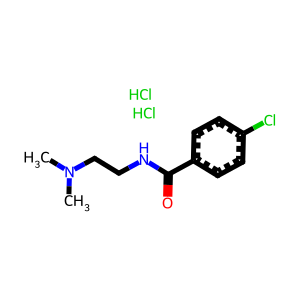 CN(C)CCNC(=O)c1ccc(Cl)cc1.Cl.Cl